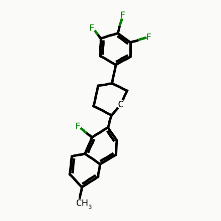 Cc1ccc2c(F)c(C3CCC(c4cc(F)c(F)c(F)c4)CC3)ccc2c1